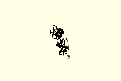 C[C@H](Nc1nccc(-c2cncn2CC(F)(F)F)n1)c1cc2cccc(Cl)c2[nH]c1=O